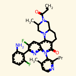 C=CC(=O)N1CC2CCc3c(c4cc(F)c(-c5c(N)cccc5F)nc4n(-c4c(C)ccnc4C(C)C)c3=O)N2CC1C